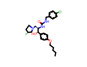 CCCCCOc1ccc([C@@H](O)[C@@H](CN2CC[C@@H](F)C2)NC(=O)NCc2ccc(Cl)cc2)cc1